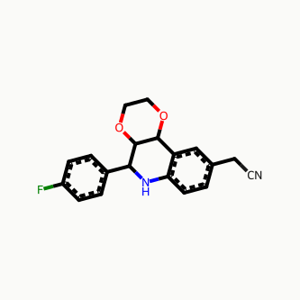 N#CCc1ccc2c(c1)C1OCCOC1C(c1ccc(F)cc1)N2